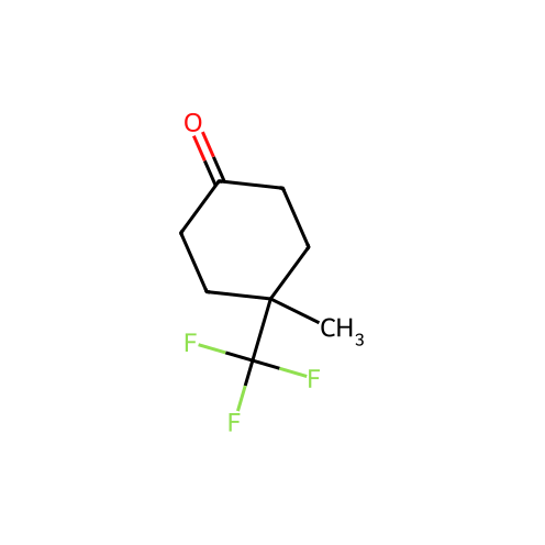 CC1(C(F)(F)F)CCC(=O)CC1